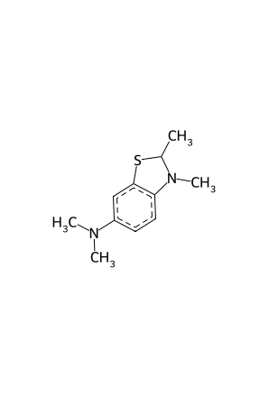 CC1Sc2cc(N(C)C)ccc2N1C